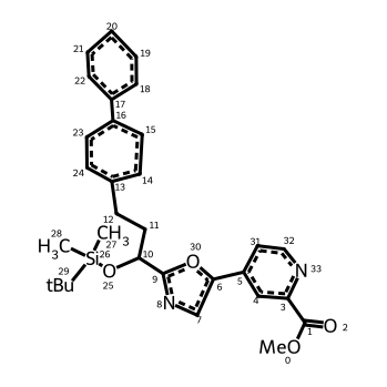 COC(=O)c1cc(-c2cnc(C(CCc3ccc(-c4ccccc4)cc3)O[Si](C)(C)C(C)(C)C)o2)ccn1